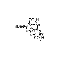 CC(C)Cc1ccc(C(C)C(=O)O)cc1.CCCCCCCCCCCCCCCC(=O)O